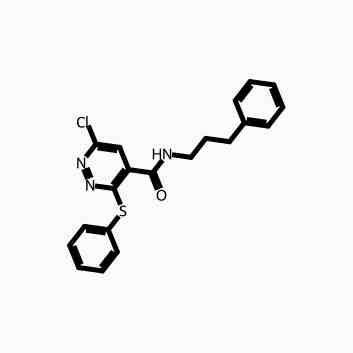 O=C(NCCCc1ccccc1)c1cc(Cl)nnc1Sc1ccccc1